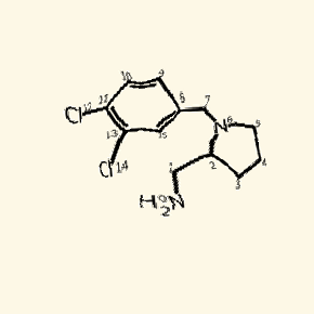 NCC1CCCN1Cc1ccc(Cl)c(Cl)c1